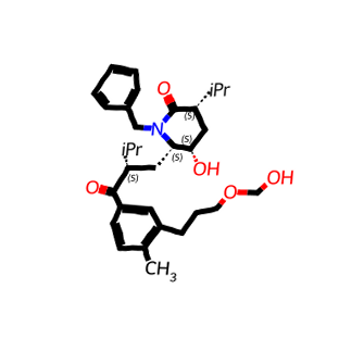 Cc1ccc(C(=O)[C@@H](C[C@H]2[C@@H](O)C[C@@H](C(C)C)C(=O)N2Cc2ccccc2)C(C)C)cc1CCCOCO